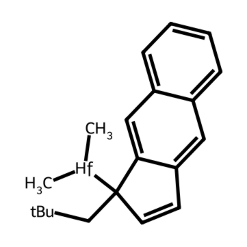 [CH3][Hf]([CH3])[C]1(CC(C)(C)C)C=Cc2cc3ccccc3cc21